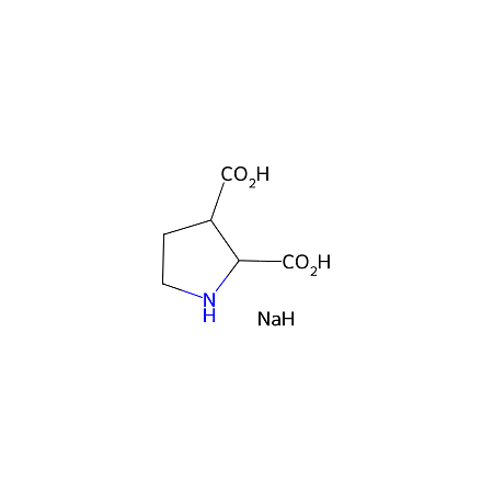 O=C(O)C1CCNC1C(=O)O.[NaH]